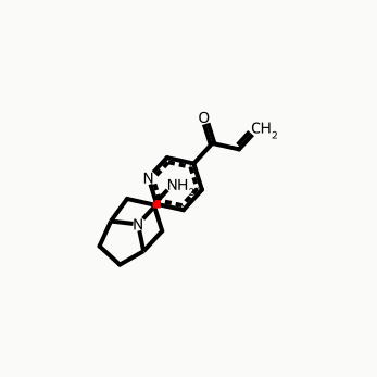 C=CC(=O)c1ccc(N2C3CCC2CC(N)C3)nc1